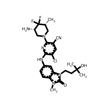 C[C@@H]1CN(c2nc(Nc3ccc4c(c3)n(CCC(C)(C)O)c(=O)n4C)c(Cl)cc2C#N)C[C@H](N)C1(F)F